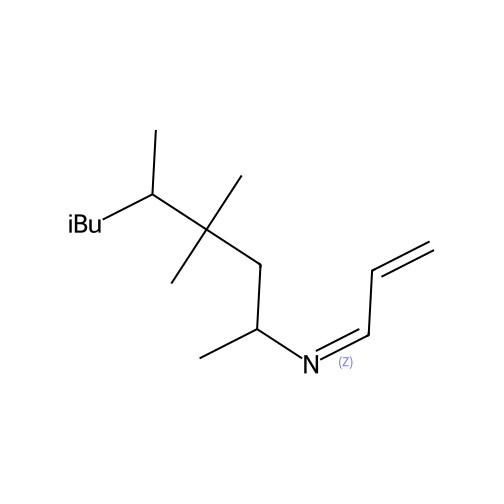 C=C/C=N\C(C)CC(C)(C)C(C)C(C)CC